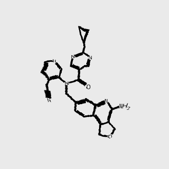 N#Cc1ccncc1N(Cc1ccc2c3c(c(N)nc2c1)COC3)C(=O)c1cnc(C2CC2)nc1